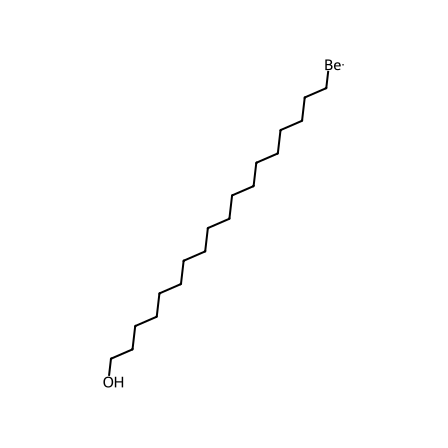 [Be][CH2]CCCCCCCCCCCCCCCCCO